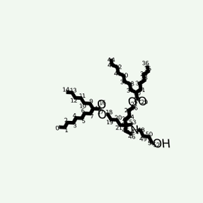 CCCCCCCCC(CCCCCC)C(=O)OCCCCC1(CCCCOC(=O)C(CCCCCC)CCCCCCCC)CCN(CCCCO)C1